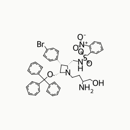 NC(CO)CCN1[C@H](COC(c2ccccc2)(c2ccccc2)c2ccccc2)[C@H](c2ccc(Br)cc2)[C@@H]1CNS(=O)(=O)c1ccccc1[N+](=O)[O-]